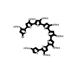 CCCCCCc1csc(-c2sc(-c3sc(-c4sc(-c5sc(-c6sc(-c7sc(-c8sc(Br)cc8CCCCCC)cc7CCCCCC)cc6CCCCCC)cc5CCCCCC)cc4CCCCCC)cc3CCCCCC)cc2CCCCCC)c1